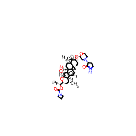 CC(C)[C@@H](OC(=O)N1CCC1)[C@H]1C[C@@H](C)[C@H]2[C@H](O1)[C@H](O)[C@@]1(C)[C@@H]3CC[C@H]4C(C)(C)[C@@H](O[C@H]5CN([C@@H]6CCNC6=O)CCO5)CC[C@@]45C[C@@]35CC[C@]21C